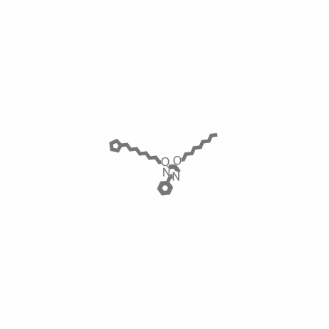 CCCCCCCCCOc1cnc(-c2ccccc2)nc1OCCCCCCCCC1CCCC1